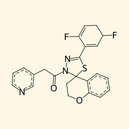 O=C(Cc1cccnc1)N1N=C(C2=CC(F)CC=C2F)SC12CCOc1ccccc12